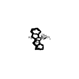 C[CH]=[Hf]([CH3])([CH3])([CH]1C(C)=Cc2ccccc21)[CH]1C(C)=Cc2ccccc21